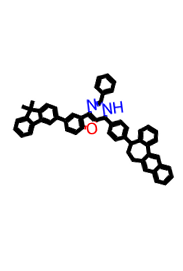 CC1(C)c2ccccc2-c2cc(-c3ccc4oc5c(c4c3)N=C(c3ccccc3)NC5c3ccc(C4CCc5cc6ccccc6cc5-c5ccccc54)cc3)ccc21